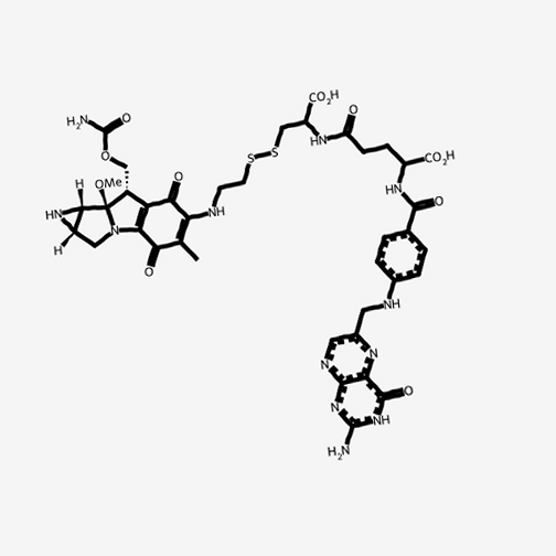 CO[C@@]12[C@H](COC(N)=O)C3=C(C(=O)C(C)=C(NCCSSCC(NC(=O)CCC(NC(=O)c4ccc(NCc5cnc6nc(N)[nH]c(=O)c6n5)cc4)C(=O)O)C(=O)O)C3=O)N1C[C@@H]1N[C@@H]12